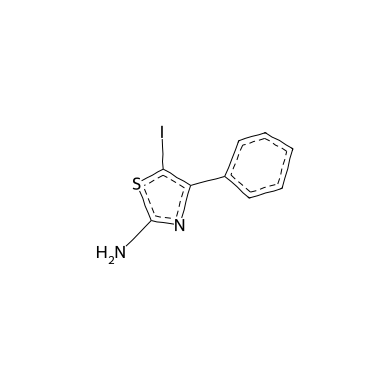 Nc1nc(-c2ccccc2)c(I)s1